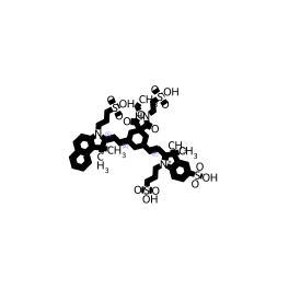 CCOC(=O)C1(C(=O)NCCS(=O)(=O)O)C/C(=C\C=C2\N(CCCS(=O)(=O)O)c3ccc4ccccc4c3C2(C)C)CC(/C=C/C2=[N+](CCCS(=O)(=O)O)c3ccc(S(=O)(=O)O)cc3C2(C)C)C1